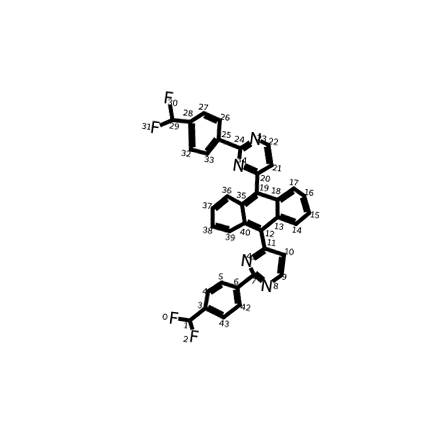 FC(F)c1ccc(-c2nccc(-c3c4ccccc4c(-c4ccnc(-c5ccc(C(F)F)cc5)n4)c4ccccc34)n2)cc1